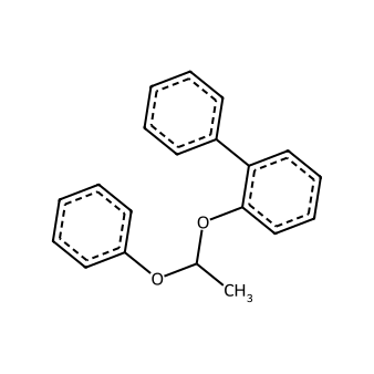 CC(Oc1ccccc1)Oc1ccccc1-c1ccccc1